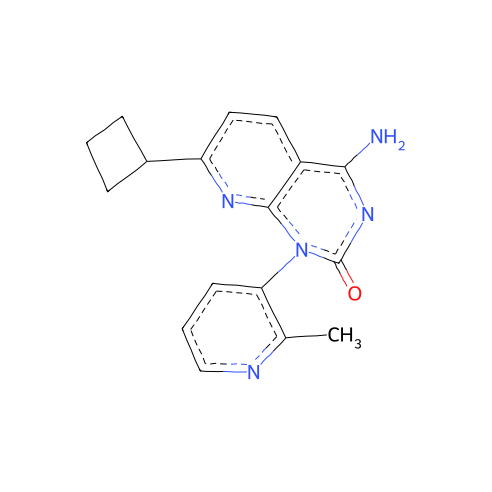 Cc1ncccc1-n1c(=O)nc(N)c2ccc(C3CCC3)nc21